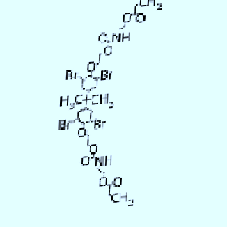 C=CC(=O)OCCNC(=O)OCCOc1c(Br)cc(C(C)(C)c2cc(Br)c(OCCOC(=O)NCCOC(=O)C=C)c(Br)c2)cc1Br